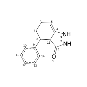 O=C1NNC2=CCCC(c3ccccc3)C12